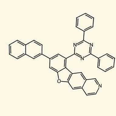 c1ccc(-c2nc(-c3ccccc3)nc(-c3cc(-c4ccc5ccccc5c4)cc4oc5cc6ccncc6cc5c34)n2)cc1